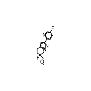 COCC1(F)CCc2cc(-c3ccc(F)cn3)nn2C1